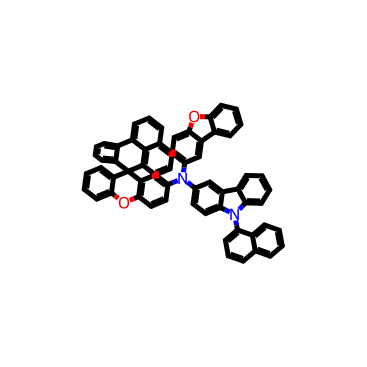 c1ccc2c(c1)Oc1ccc(N(c3ccc4oc5ccccc5c4c3)c3ccc4c(c3)c3ccccc3n4-c3cccc4ccccc34)cc1C21c2ccccc2-c2cccc3cccc1c23